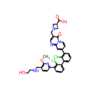 COc1nc(-c2cccc(-c3cccc(-c4ccn5c(=O)c(CN6CC(C(=O)O)C6)cnc5c4)c3Cl)c2Cl)ccc1CNCCO